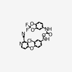 N#Cc1cc(Oc2ccc(NOC(=O)Nc3ccc4c(c3)OC(F)(F)O4)cc2Cl)ccn1